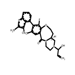 C=CC(O)N1CCN2C(=O)c3cc(Cl)c(-c4cccc5sc(N)c(C#N)c45)c(F)c3OCC[C@H]2C1